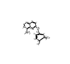 Nc1ncnc2ccc(Oc3ccc(F)c(F)c3)nc12